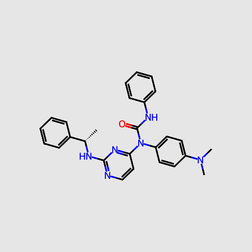 C[C@H](Nc1nccc(N(C(=O)Nc2ccccc2)c2ccc(N(C)C)cc2)n1)c1ccccc1